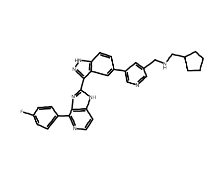 Fc1ccc(-c2nccc3[nH]c(-c4n[nH]c5ccc(-c6cncc(CNCC7CCCC7)c6)cc45)nc23)cc1